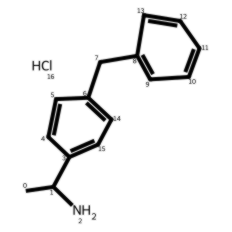 CC(N)c1ccc(Cc2ccccc2)cc1.Cl